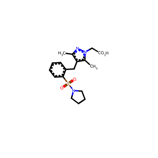 Cc1nn(CC(=O)O)c(C)c1Cc1ccccc1S(=O)(=O)N1CCCC1